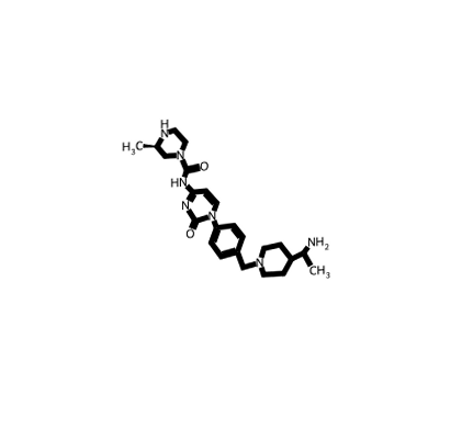 CC(N)C1CCN(Cc2ccc(-n3ccc(NC(=O)N4CCN[C@H](C)C4)nc3=O)cc2)CC1